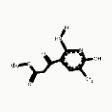 CCNc1nc(O)c(C(F)(F)F)cc1C(=O)CC(=O)OC(C)(C)C